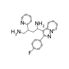 NCC(CC(N)c1c(-c2ccc(F)cc2)nn2ccccc12)c1ccccn1